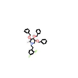 C[C@@H]1[C@@H](OCc2ccccc2)[C@H](OCc2ccccc2)[C@@H](OCc2ccccc2)CN1CCc1ccc(F)cc1F